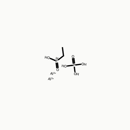 CC[PH](=O)O.O=P(O)(O)O.[Al+3].[Al+3]